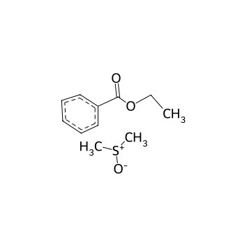 CCOC(=O)c1ccccc1.C[S+](C)[O-]